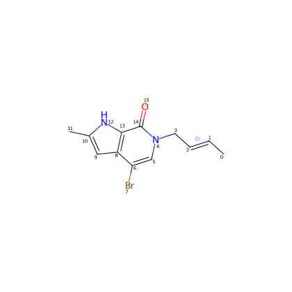 C/C=C/Cn1cc(Br)c2cc(C)[nH]c2c1=O